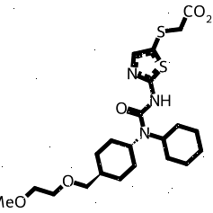 COCCOC[C@H]1CC[C@H](N(C(=O)Nc2ncc(SCC(=O)O)s2)C2CCCCC2)CC1